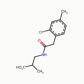 Cc1ccc(CC(=O)NCC(C)C(=O)O)c(Cl)c1